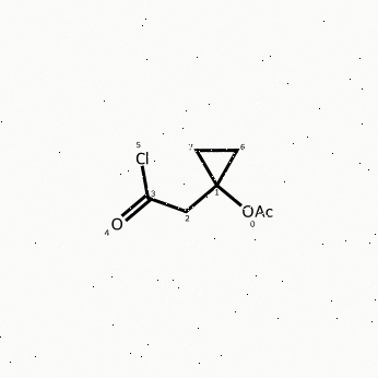 CC(=O)OC1(CC(=O)Cl)CC1